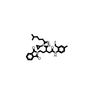 Cc1ccc(NC(=O)CC(CCN2C(=O)c3ccccc3C2=O)c2nnc(CCCC(C)C)n2C2CC2)c(CF)c1